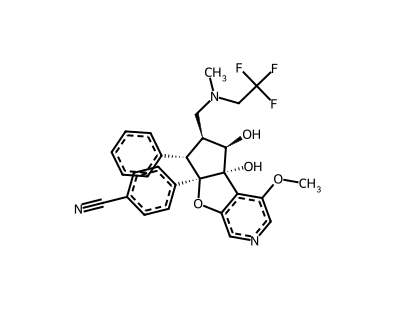 COc1cncc2c1[C@]1(O)[C@H](O)[C@H](CN(C)CC(F)(F)F)[C@@H](c3ccccc3)[C@]1(c1ccc(C#N)cc1)O2